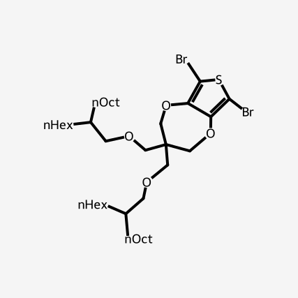 CCCCCCCCC(CCCCCC)COCC1(COCC(CCCCCC)CCCCCCCC)COc2c(Br)sc(Br)c2OC1